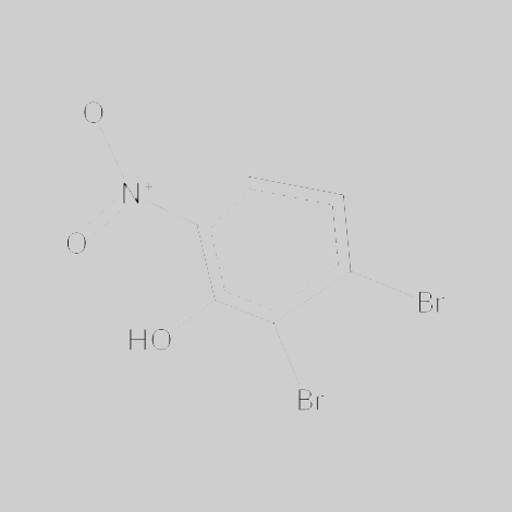 O=[N+]([O-])c1ccc(Br)c(Br)c1O